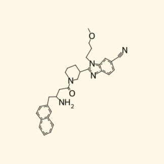 COCCCn1c(C2CCCN(C(=O)CC(N)Cc3ccc4ccccc4c3)C2)nc2ccc(C#N)cc21